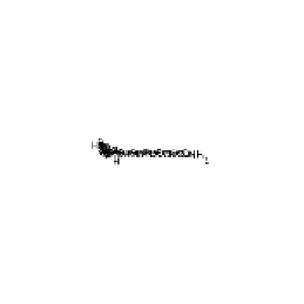 NCCOCCOCCOCCOCCOCCOCCOCCOCCOCCOCCOCCNC(=O)COc1cccc2c1C(=O)N(C1CCC(=O)NC1=O)C2=O